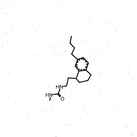 CCCCc1ccc2c(c1)C(CCNC(=O)NC)CCC2